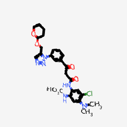 CN(C)c1cc(NC(=O)O)c(NC(=O)CC(=O)c2cccc(-n3nncc3COC3CCCCO3)c2)cc1Cl